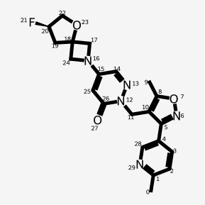 Cc1ccc(-c2noc(C)c2Cn2ncc(N3CC4(C[C@@H](F)CO4)C3)cc2=O)cn1